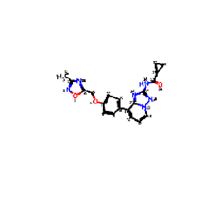 Cc1noc(COc2ccc(-c3cccn4nc(NC(=O)C5CC5)nc34)cc2)n1